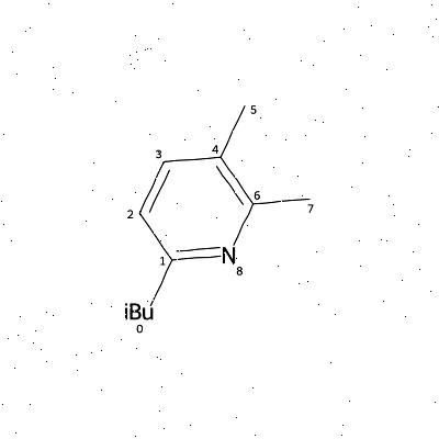 CCC(C)c1ccc(C)c(C)n1